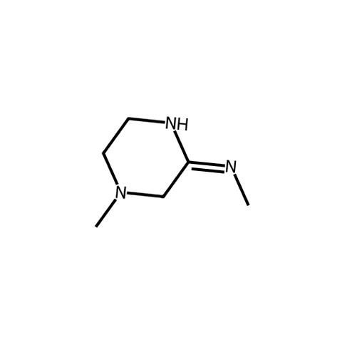 C/N=C1\CN(C)CCN1